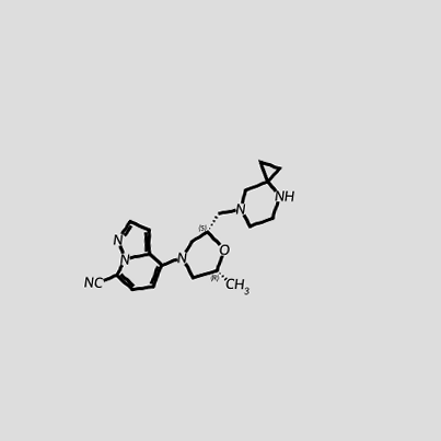 C[C@@H]1CN(c2ccc(C#N)n3nccc23)C[C@H](CN2CCNC3(CC3)C2)O1